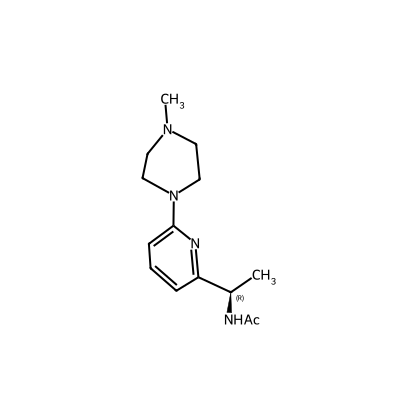 CC(=O)N[C@H](C)c1cccc(N2CCN(C)CC2)n1